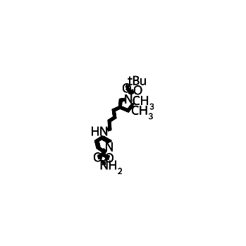 CC(C)(C)OC(=O)N1CC(CCCCNc2ccc(S(N)(=O)=O)nc2)CC1(C)C